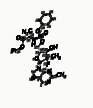 Cc1ncc2ncn([C@@H]3O[C@H](CO[P@](=O)(N[C@@H](C)C(=O)OC(C)C)Oc4ccccc4)[C@@H](O)[C@@]3(C)F)c2n1